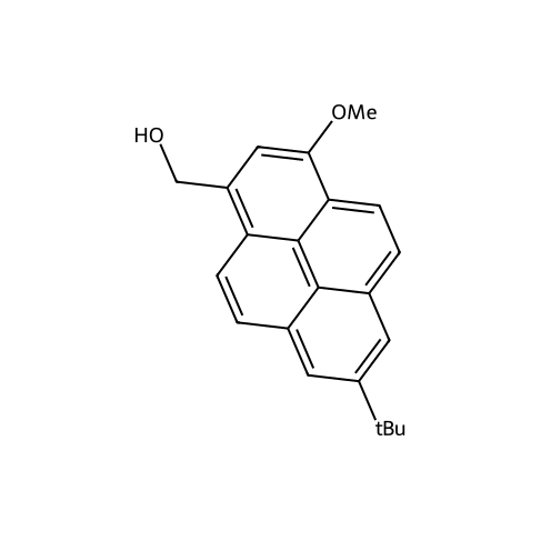 COc1cc(CO)c2ccc3cc(C(C)(C)C)cc4ccc1c2c34